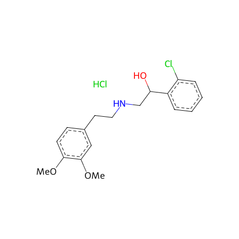 COc1ccc(CCNCC(O)c2ccccc2Cl)cc1OC.Cl